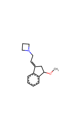 COC1C/C(=C\CN2CCC2)c2ccccc21